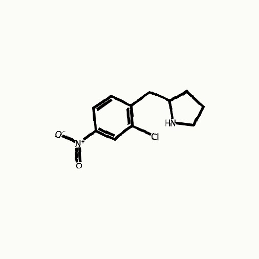 O=[N+]([O-])c1ccc(CC2CCCN2)c(Cl)c1